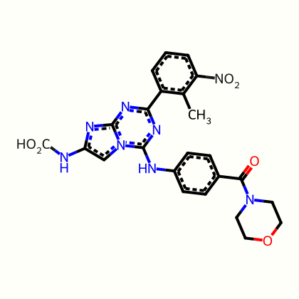 Cc1c(-c2nc(Nc3ccc(C(=O)N4CCOCC4)cc3)n3cc(NC(=O)O)nc3n2)cccc1[N+](=O)[O-]